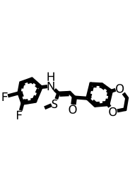 CSC(=CC(=O)c1ccc2c(c1)OCCO2)Nc1ccc(F)c(F)c1